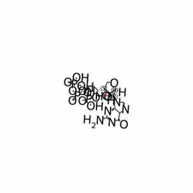 CC(OP(=O)(O)OP(=O)(O)OP(=O)(O)O)[C@@]12CO[C@@H]([C@H](N3C=NC4C(=O)N=C(N)N=C43)O1)[C@@H]2O